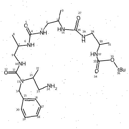 CC(CNC(=O)NC(C)CNC(=O)N(Cc1ccccc1)C(C)CN)NC(=O)NCC(C)NC(=O)OC(C)(C)C